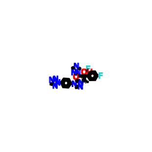 C[C@@H](n1ncn(-c2ccc(-n3ncnn3)cc2)c1=O)[C@](O)(Cn1cncn1)c1ccc(F)cc1F